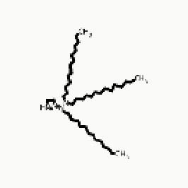 CCCCCCCCCCCCCCN(CCCCCCCCCCCCCC)N(CCCCCCCCCCCCCC)N1CCNC1